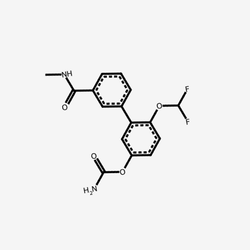 CNC(=O)c1cccc(-c2cc(OC(N)=O)ccc2OC(F)F)c1